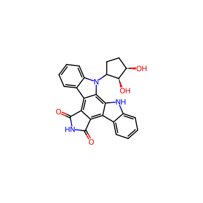 O=C1NC(=O)c2c1c1c3ccccc3[nH]c1c1c2c2ccccc2n1C1CC[C@@H](O)[C@H]1O